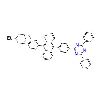 CCC1CC2Cc3cc(-c4c5ccccc5c(-c5ccc(-c6nc(-c7ccccc7)nc(-c7ccccc7)n6)cc5)c5ccccc45)ccc3C(C1)C2